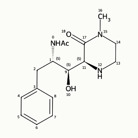 CC(=O)N[C@@H](Cc1ccccc1)[C@H](O)[C@@H]1NCCN(C)C1=O